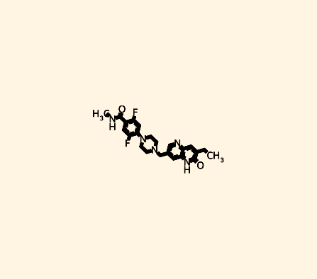 CCc1cc2ncc(CN3CCN(c4cc(F)c(C(=O)NC)cc4F)CC3)cc2[nH]c1=O